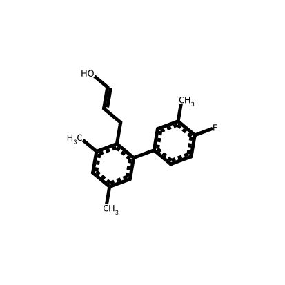 Cc1cc(C)c(C/C=C/O)c(-c2ccc(F)c(C)c2)c1